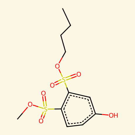 CCCCOS(=O)(=O)c1cc(O)ccc1S(=O)(=O)OC